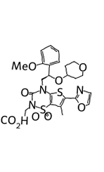 COc1ccccc1[C@H](CN1C(=O)N(CC(=O)O)S(=O)(=O)c2c1sc(-c1ncco1)c2C)OC1CCOCC1